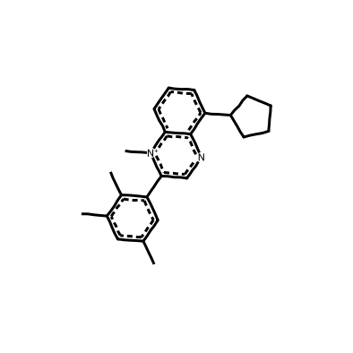 Cc1cc(C)c(C)c(-c2cnc3c(C4CCCC4)cccc3[n+]2C)c1